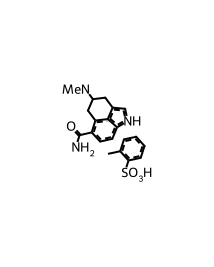 CNC1Cc2c[nH]c3ccc(C(N)=O)c(c23)C1.Cc1ccccc1S(=O)(=O)O